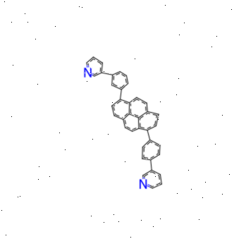 c1cncc(-c2ccc(-c3ccc4ccc5c(-c6cccc(-c7cccnc7)c6)ccc6ccc3c4c65)cc2)c1